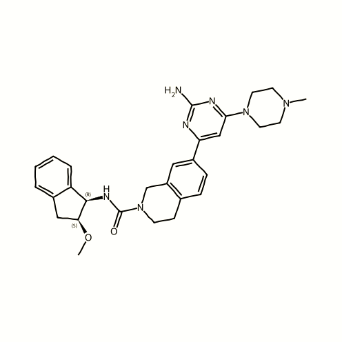 CO[C@H]1Cc2ccccc2[C@H]1NC(=O)N1CCc2ccc(-c3cc(N4CCN(C)CC4)nc(N)n3)cc2C1